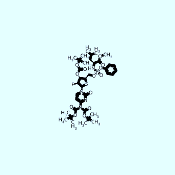 COC(=O)[C@H](CC(C)C)NP(=O)(OC[C@H]1S[C@@H](n2ccc(N(C(=O)OC(C)(C)C)C(=O)OC(C)(C)C)nc2=O)[C@@H](F)[C@@H]1OC(=O)OC(C)(C)C)Oc1ccccc1